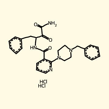 Cl.Cl.NC(=O)C(=O)C(Cc1ccccc1)NC(=O)c1cccnc1N1CCN(Cc2ccccc2)CC1